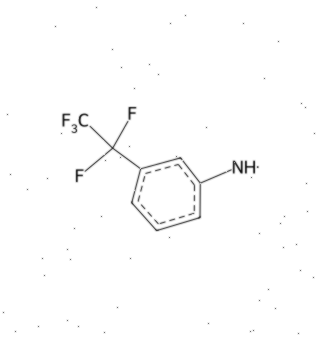 [NH]c1cccc(C(F)(F)C(F)(F)F)c1